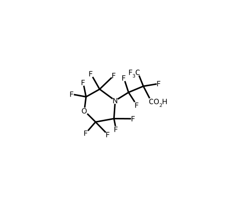 O=C(O)C(F)(C(F)(F)F)C(F)(F)N1C(F)(F)C(F)(F)OC(F)(F)C1(F)F